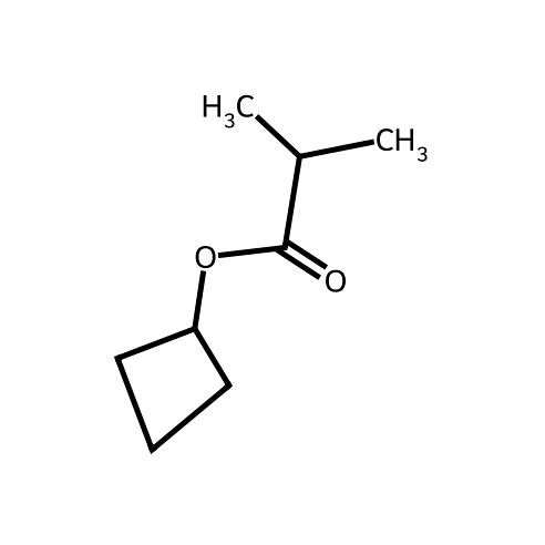 CC(C)C(=O)OC1CCC1